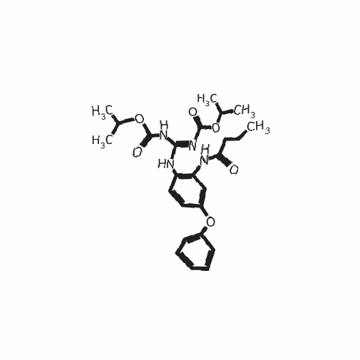 CCCC(=O)Nc1cc(Oc2ccccc2)ccc1NC(=NC(=O)OC(C)C)NC(=O)OC(C)C